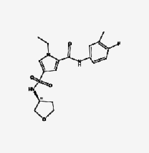 CCn1cc(S(=O)(=O)N[C@H]2CCOC2)cc1C(=O)Nc1ccc(F)c(C)c1